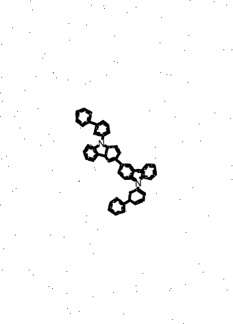 C1=CC(c2ccccc2)CC(n2c3ccccc3c3cc(C4=CC5c6ccccc6N(c6cccc(-c7ccccc7)c6)C5C=C4)ccc32)=C1